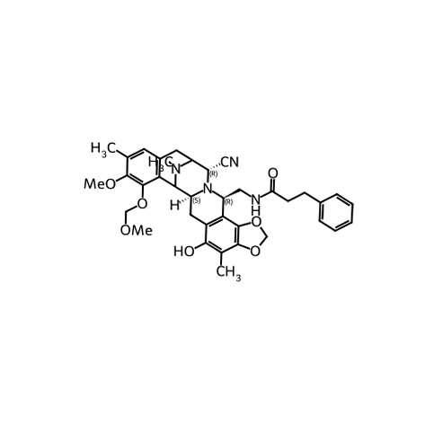 COCOc1c(OC)c(C)cc2c1C1[C@@H]3Cc4c(O)c(C)c5c(c4[C@H](CNC(=O)CCc4ccccc4)N3[C@@H](C#N)C(C2)N1C)OCO5